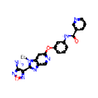 CCn1c(-c2nonc2N)nc2cnc(Oc3cccc(NC(=O)c4cccnc4)c3)cc21